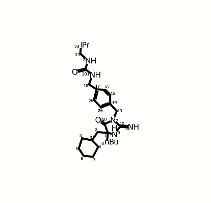 CCCCC1(CC2CCCCC2)NC(=N)N(Cc2ccc(CNC(=O)NCC(C)C)cc2)C1=O